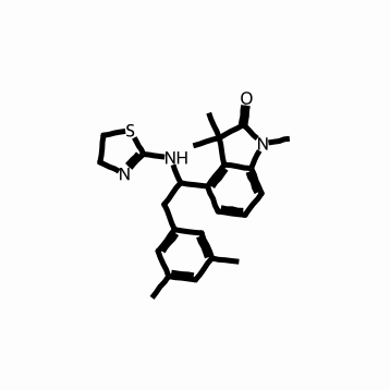 Cc1cc(C)cc(CC(NC2=NCCS2)c2cccc3c2C(C)(C)C(=O)N3C)c1